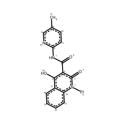 CCn1c(=O)c(C(=O)Nc2ccc(C)cn2)c(O)c2ccccc21